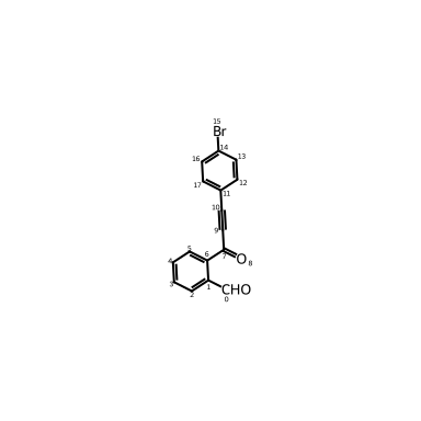 O=Cc1ccccc1C(=O)C#Cc1ccc(Br)cc1